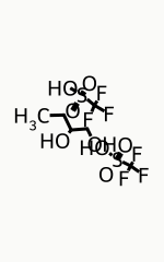 CCC(O)CO.O=S(=O)(O)C(F)(F)F.O=S(=O)(O)C(F)(F)F